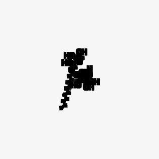 CCCCCCCCCCCC(=O)OC[C@@H](O)[C@H]1OC[C@H](O)[C@H]1O.OCC(O)CO.OCC(O)CO